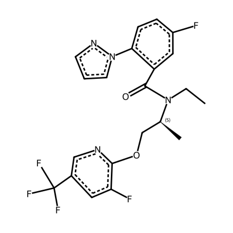 CCN(C(=O)c1cc(F)ccc1-n1cccn1)[C@@H](C)COc1ncc(C(F)(F)F)cc1F